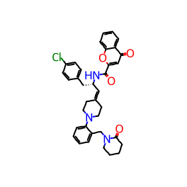 O=C(N[C@H](C=C1CCN(c2ccccc2CN2CCCCC2=O)CC1)Cc1ccc(Cl)cc1)c1cc(=O)c2ccccc2o1